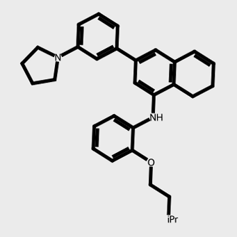 CC(C)CCOc1ccccc1Nc1cc(-c2cccc(N3CCCC3)c2)cc2c1CCC=C2